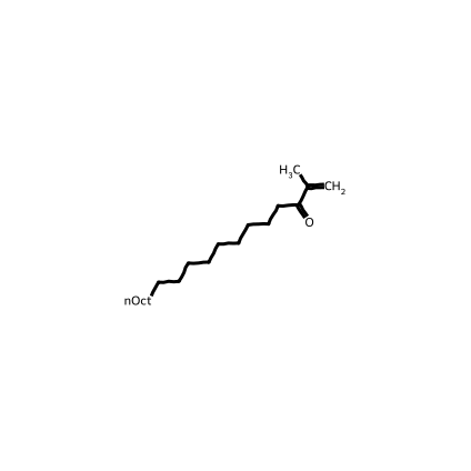 C=C(C)C(=O)CCCCCCCCCCCCCCCCC